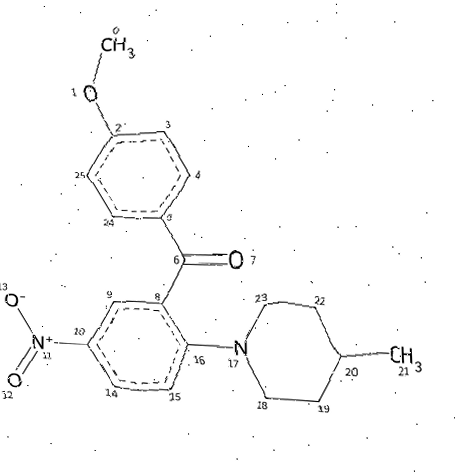 COc1ccc(C(=O)c2cc([N+](=O)[O-])ccc2N2CCC(C)CC2)cc1